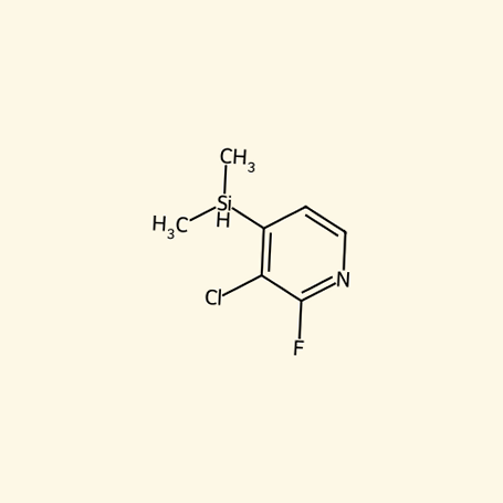 C[SiH](C)c1ccnc(F)c1Cl